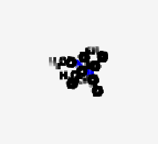 CC1=CC=C(N2C3=CC(C(C)(C)c4ccccc4)CC4=C3B(c3cc(C)ccc32)c2cc(-c3ccccc3)ccc2N4c2ccc(C3=CC=CCC3)cc2)CC1